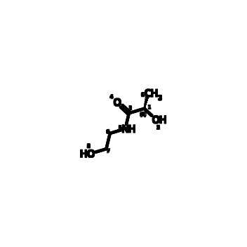 C[C@H](O)C(=O)NCCO